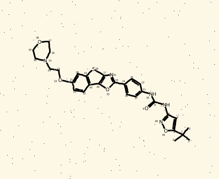 CC(C)(C)c1cc(NC(=O)Nc2ccc(-c3nc4sc5cc(OCCN6CCOCC6)ccc5c4o3)cc2)no1